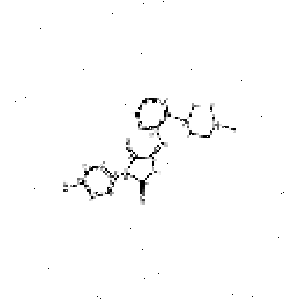 CN1CCN(c2ccccc2/C=C2/SC(=O)N(c3ccc(Cl)cc3)C2=O)CC1